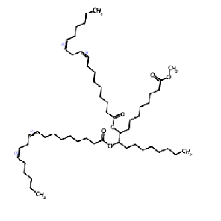 CCCCC/C=C\C/C=C\CCCCCCCC(=O)OC(CCCCCCCC)C(CCCCCCCC(=O)OC)OC(=O)CCCCCCC/C=C\C/C=C\CCCCC